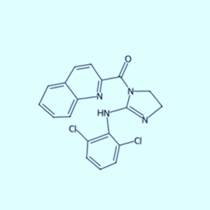 O=C(c1ccc2ccccc2n1)N1CCN=C1Nc1c(Cl)cccc1Cl